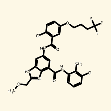 COCc1nc2c(C(=O)Nc3cccc(Cl)c3C)cc(NC(=O)c3cc(OCCCC(F)(F)F)ccc3Cl)cc2[nH]1